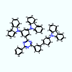 c1ccc(-c2nc(-c3cccc(-c4ccc(-n5c6ccccc6c6ccccc65)cc4)c3)nc(-c3cc(-n4c5ccccc5c5ccccc54)cc(-n4c5ccccc5c5ccccc54)c3)n2)cc1